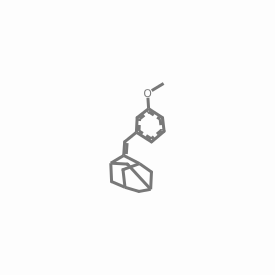 COc1cccc(C=C2C3CC4CC(C3)CC2C4)c1